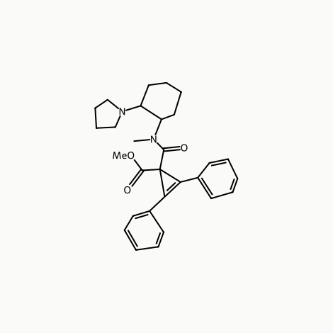 COC(=O)C1(C(=O)N(C)C2CCCCC2N2CCCC2)C(c2ccccc2)=C1c1ccccc1